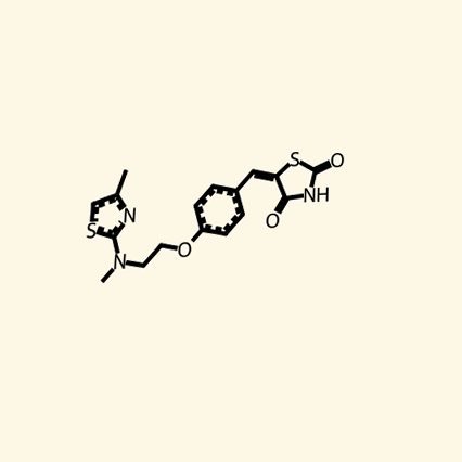 Cc1csc(N(C)CCOc2ccc(C=C3SC(=O)NC3=O)cc2)n1